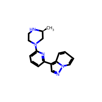 C[C@H]1CN(c2cccc(-c3cnn4ccccc34)n2)CCN1